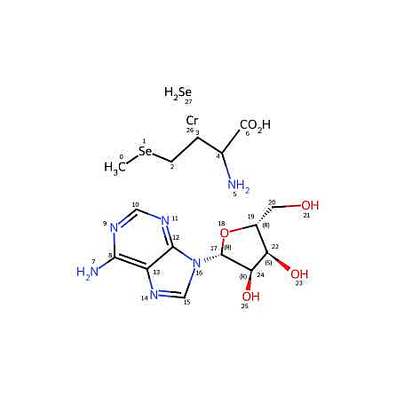 C[Se]CCC(N)C(=O)O.Nc1ncnc2c1ncn2[C@@H]1O[C@H](CO)[C@@H](O)[C@H]1O.[Cr].[SeH2]